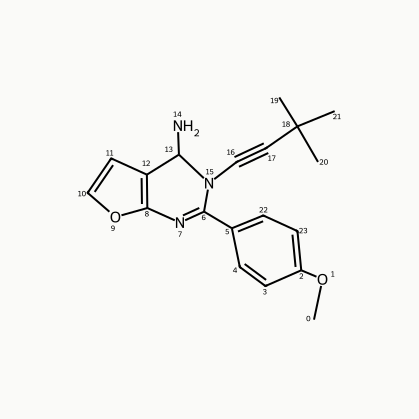 COc1ccc(C2=Nc3occc3C(N)N2C#CC(C)(C)C)cc1